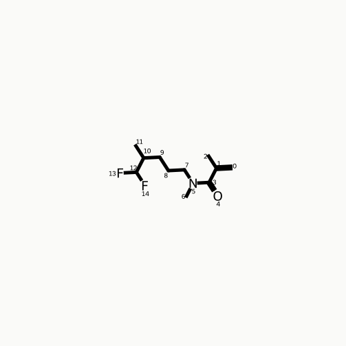 C=C(C)C(=O)N(C)CCCC(C)C(F)F